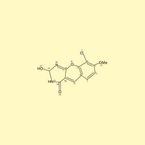 COc1ccc2c(c1Cl)OC1=NC(O)NC(=O)C1=C2